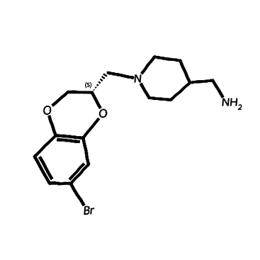 NCC1CCN(C[C@H]2COc3ccc(Br)cc3O2)CC1